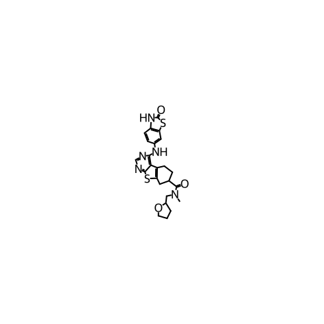 CN(CC1CCCO1)C(=O)C1CCc2c(sc3ncnc(Nc4ccc5[nH]c(=O)sc5c4)c23)C1